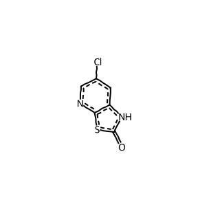 O=c1[nH]c2cc(Cl)cnc2s1